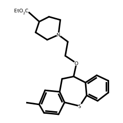 CCOC(=O)C1CCN(CCOC2Cc3cc(C)ccc3Sc3ccccc32)CC1